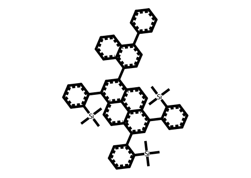 C[Si](C)(C)c1ccccc1-c1cc(-c2ccccc2[Si](C)(C)C)c2ccc3c(-c4ccc(-c5ccccc5)c5ccccc45)cc(-c4ccccc4[Si](C)(C)C)c4ccc1c2c43